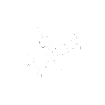 O=S(=O)(c1ccc(F)cc1)C12CN(C(O)C3=CCCC3)CC1CCc1cc(C(F)(C(F)(F)F)C(F)(F)F)ccc12